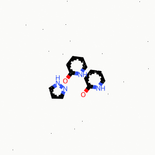 O=c1cccc[nH]1.O=c1cccc[nH]1.c1cn[nH]c1